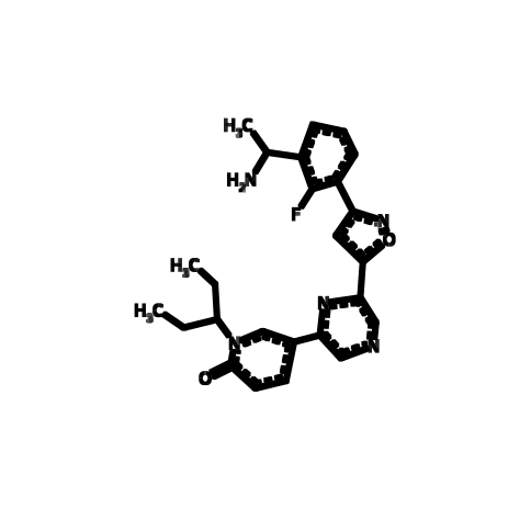 CCC(CC)n1cc(-c2cncc(-c3cc(-c4cccc(C(C)N)c4F)no3)n2)ccc1=O